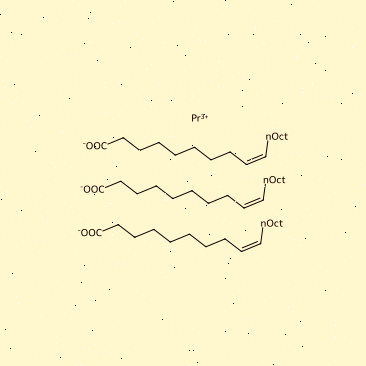 CCCCCCCC/C=C\CCCCCCCC(=O)[O-].CCCCCCCC/C=C\CCCCCCCC(=O)[O-].CCCCCCCC/C=C\CCCCCCCC(=O)[O-].[Pr+3]